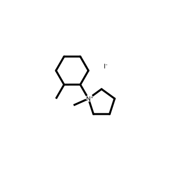 CC1CCCCC1[N+]1(C)CCCC1.[I-]